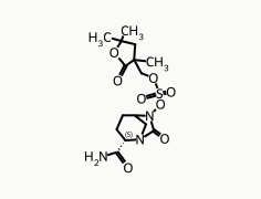 CC1(C)CC(C)(COS(=O)(=O)ON2C(=O)N3CC2CC[C@H]3C(N)=O)C(=O)O1